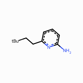 CC(C)(C)CCc1cccc(N)n1